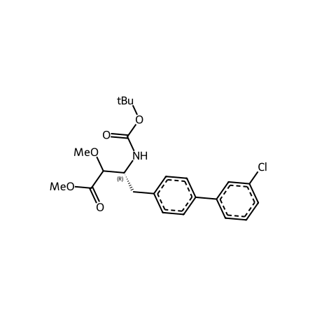 COC(=O)C(OC)[C@@H](Cc1ccc(-c2cccc(Cl)c2)cc1)NC(=O)OC(C)(C)C